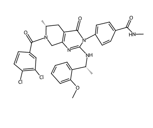 CNC(=O)c1ccc(-n2c(N[C@H](C)c3ccccc3OC)nc3c(c2=O)C[C@@H](C)N(C(=O)c2ccc(Cl)c(Cl)c2)C3)cc1